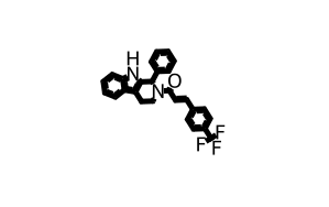 O=C(C=Cc1ccc(C(F)(F)F)cc1)N1CCc2c([nH]c3ccccc23)C1c1ccccc1